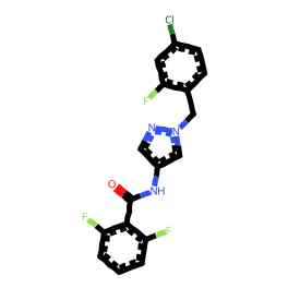 O=C(Nc1cnn(Cc2ccc(Cl)cc2F)c1)c1c(F)cccc1F